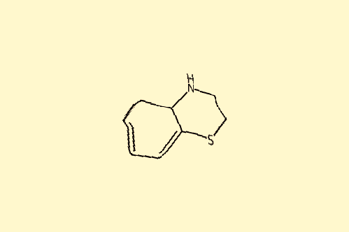 C1=CCC2NCCSC2=C1